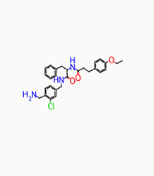 CCOc1ccc(CCC(=O)NC(Cc2ccccc2)C(=O)NCc2ccc(CN)c(Cl)c2)cc1